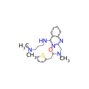 CN(C)CCCNc1nc(CN(C)C(=O)Cc2cccs2)nc2ccccc12